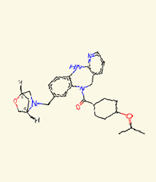 CC(C)OC1CCC(C(=O)N2Cc3cccnc3Nc3ccc(CN4C[C@@H]5C[C@H]4CO5)cc32)CC1